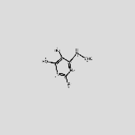 CC(C)c1nc(O)c(O)c(NC=O)n1